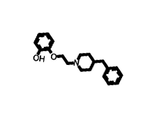 Oc1ccccc1OCCN1CCC(Cc2ccccc2)CC1